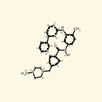 Cc1ccc(N(S)C(=O)c2ccc(CN3CCN(C)CC3)cc2)cc1Nc1nccc(-c2cccnc2)n1